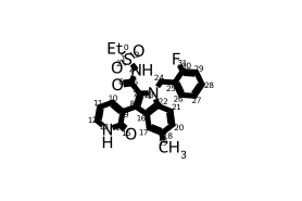 CCS(=O)(=O)NC(=O)c1c(-c2ccc[nH]c2=O)c2cc(C)ccc2n1Cc1ccccc1F